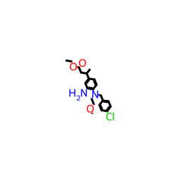 CCOC(=O)CC(C)c1ccc(N(CCOC)Cc2ccc(Cl)cc2)c(N)c1